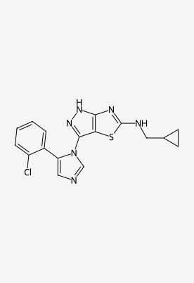 Clc1ccccc1-c1cncn1-c1n[nH]c2nc(NCC3CC3)sc12